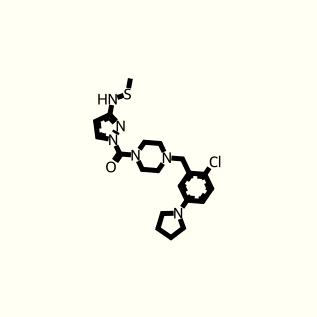 CSNc1ccn(C(=O)N2CCN(Cc3cc(N4CCCC4)ccc3Cl)CC2)n1